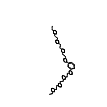 CCOCCOCCOCCOc1cccc(OCCOCCOCCOCC)c1